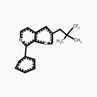 CC(C)(Cc1ccc2c(-c3ccccc3)nccc2c1)C(F)(F)F